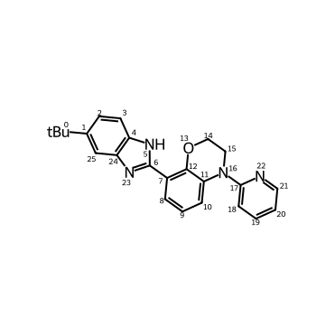 CC(C)(C)c1ccc2[nH]c(-c3cccc4c3OCCN4c3ccccn3)nc2c1